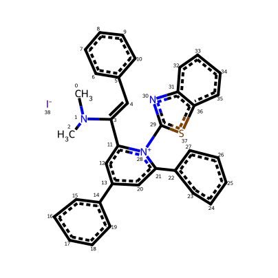 CN(C)C(=Cc1ccccc1)c1cc(-c2ccccc2)cc(-c2ccccc2)[n+]1-c1nc2ccccc2s1.[I-]